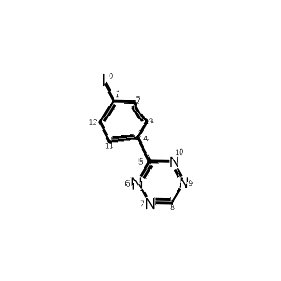 Ic1ccc(-c2nncnn2)cc1